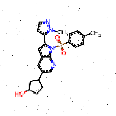 Cc1ccc(S(=O)(=O)n2c(-c3ccnn3C)cc3cc(C4CCC(O)C4)cnc32)cc1